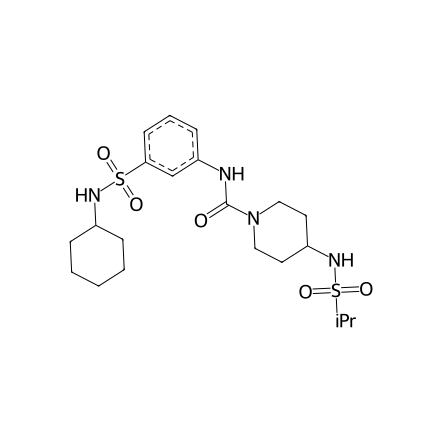 CC(C)S(=O)(=O)NC1CCN(C(=O)Nc2cccc(S(=O)(=O)NC3CCCCC3)c2)CC1